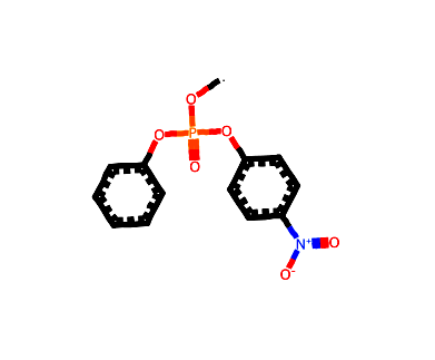 [CH2]OP(=O)(Oc1ccccc1)Oc1ccc([N+](=O)[O-])cc1